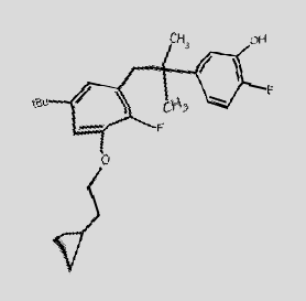 CC(C)(C)c1cc(CC(C)(C)c2ccc(F)c(O)c2)c(F)c(OCCC2CC2)c1